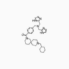 O=C(c1ccc(CN(Cc2ncc[nH]2)Cc2ncc[nH]2)cc1)N1CCCC2(CCN(CC3CCCCC3)CC2)C1